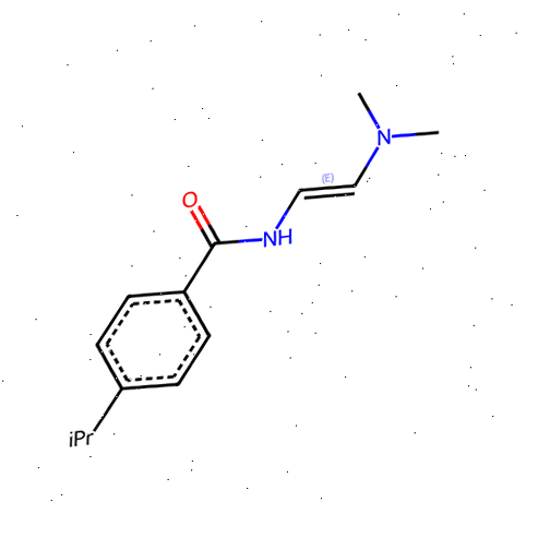 CC(C)c1ccc(C(=O)N/C=C/N(C)C)cc1